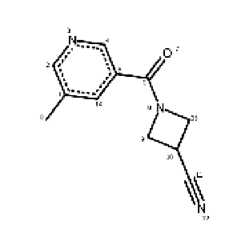 Cc1cncc(C(=O)N2CC(C#N)C2)c1